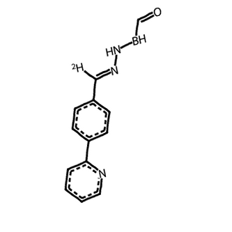 [2H]/C(=N\NBC=O)c1ccc(-c2ccccn2)cc1